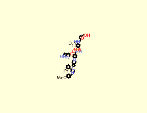 COc1ccc(CN2CCN(C3CC4(CCN(c5ccc(C(=O)NS(=O)(=O)c6ccc(NCC7CCC(CO)O7)c([N+](=O)[O-])c6)c(Oc6cnc7[nH]ccc7c6)c5)CC4)C3)[C@H](c3ccccc3C(C)C)C2)cc1